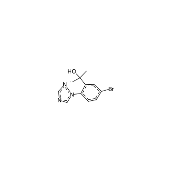 [CH2]C(C)(O)c1cc(Br)ccc1-n1cncn1